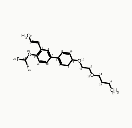 C/C=C/c1cc(C2=CCC(OCCOCCCC)C=C2)ccc1OC(F)F